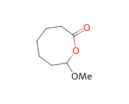 COC1CCCCCC(=O)O1